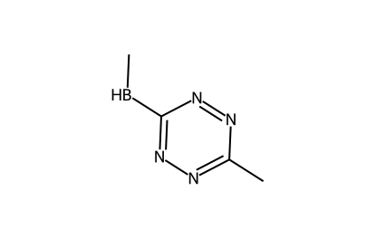 CBc1nnc(C)nn1